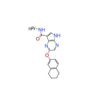 CCCNC(=O)c1c[nH]c2ncc(Oc3ccc4c(c3)CCCC4)nc12